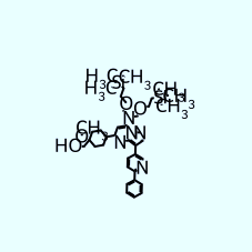 COC1(CO)CCC(c2cc(N(COCC[Si](C)(C)C)COCC[Si](C)(C)C)n3ncc(-c4ccc(-c5ccccc5)nc4)c3n2)CC1